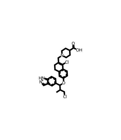 CC(CCl)C(Oc1ccc2c(c1)CCC(CN1CCC(C(=O)O)CC1)=C2Cl)c1ccc2[nH]ncc2c1